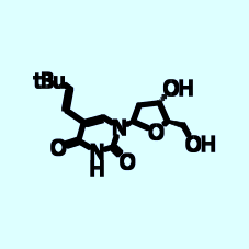 CC(C)(C)C=Cc1cn([C@H]2C[C@H](O)[C@@H](CO)O2)c(=O)[nH]c1=O